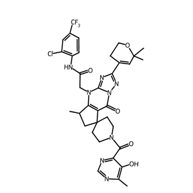 Cc1ncnc(C(=O)N2CCC3(CC2)CC(C)c2c3c(=O)n3nc(C4=CC(C)(C)OCC4)nc3n2CC(=O)Nc2ccc(C(F)(F)F)cc2Cl)c1O